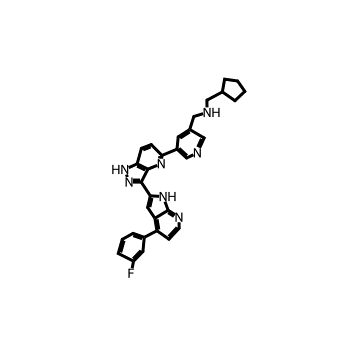 Fc1cccc(-c2ccnc3[nH]c(-c4n[nH]c5ccc(-c6cncc(CNCC7CCCC7)c6)nc45)cc23)c1